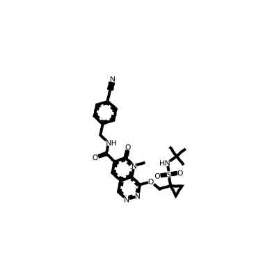 Cn1c(=O)c(C(=O)NCc2ccc(C#N)cc2)cc2cnnc(OCC3(S(=O)(=O)NC(C)(C)C)CC3)c21